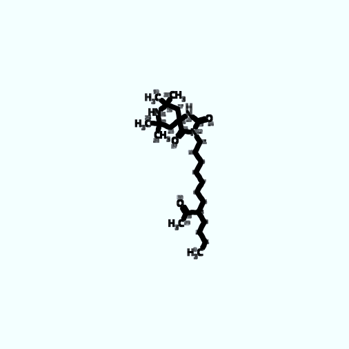 CCCCC(CCCCCCCN1C(=O)NC2(CC(C)(C)NC(C)(C)C2)C1=O)C(C)=O